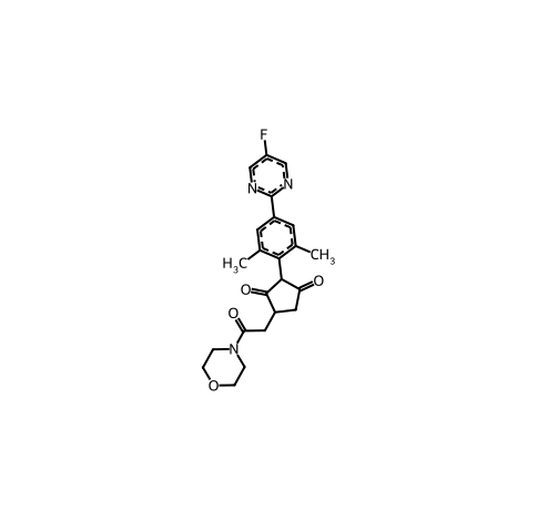 Cc1cc(-c2ncc(F)cn2)cc(C)c1C1C(=O)CC(CC(=O)N2CCOCC2)C1=O